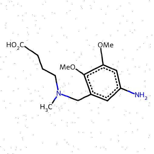 COc1cc(N)cc(CN(C)CCCC(=O)O)c1OC